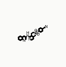 N#Cc1ccc(S(=O)(=O)N2CCc3c(ccnc3Nc3cnc4ccccc4c3)C2)cc1